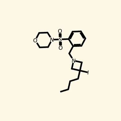 CCCCC1(I)CN(Cc2ccccc2S(=O)(=O)N2CCOCC2)C1